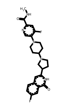 CNC(=O)c1cc(F)c(N2CCC(N3CCC(c4cc5ccc(F)cc5c(=O)[nH]4)C3)CC2)cn1